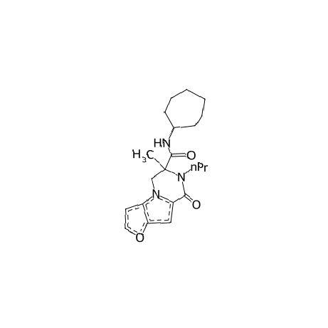 CCCN1C(=O)c2cc3occc3n2CC1(C)C(=O)NC1CCCCCC1